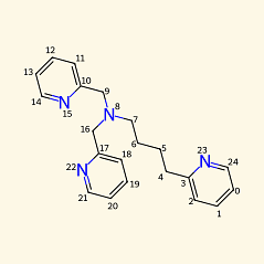 c1ccc(CCCCN(Cc2ccccn2)Cc2ccccn2)nc1